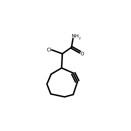 NC(=O)C(Cl)C1C#CCCCCC1